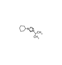 CC(C)n1cc[n+](C2CCCCC2)c1